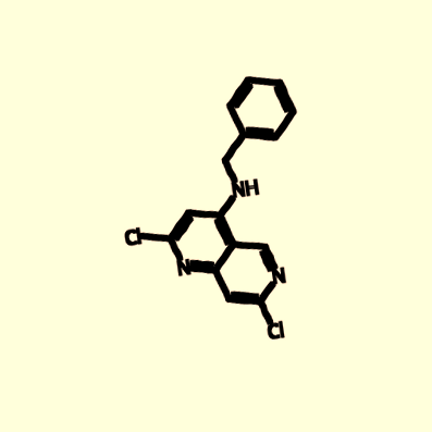 Clc1cc2nc(Cl)cc(NCc3ccccc3)c2cn1